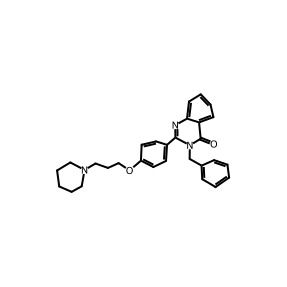 O=c1c2ccccc2nc(-c2ccc(OCCCN3CCCCC3)cc2)n1Cc1ccccc1